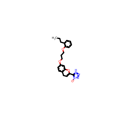 CCCc1ccccc1OCCCOc1ccc2c(c1)OC(c1[nH]nn[n+]1[O-])=CC2